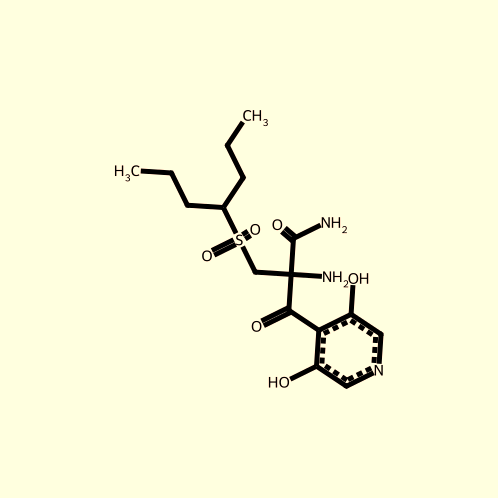 CCCC(CCC)S(=O)(=O)CC(N)(C(N)=O)C(=O)c1c(O)cncc1O